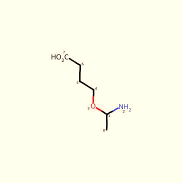 CC(N)OCCCC(=O)O